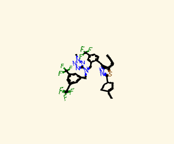 CCc1sc(C2CC=C(C)CC2)nc1-c1ccc(C(F)(F)F)cc1CN(Cc1cc(C(F)(F)F)cc(C(F)(F)F)c1)c1nnn(C)n1